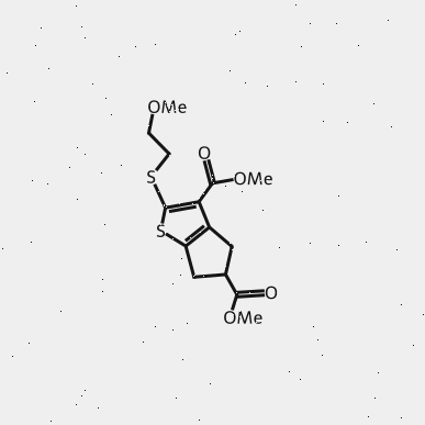 COCCSc1sc2c(c1C(=O)OC)CC(C(=O)OC)C2